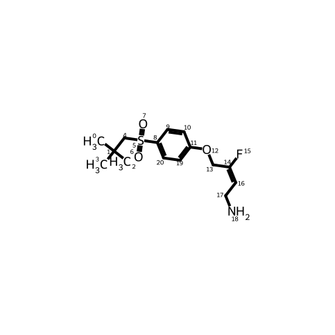 CC(C)(C)CS(=O)(=O)c1ccc(OC/C(F)=C\CN)cc1